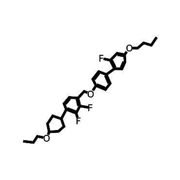 CCCCOc1ccc(-c2ccc(OCc3ccc(C4CCC(OCCC)CC4)c(F)c3F)cc2)c(F)c1